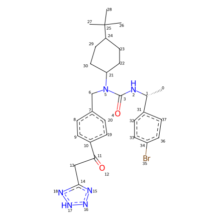 C[C@@H](NC(=O)N(Cc1ccc(C(=O)Cc2nn[nH]n2)cc1)C1CCC(C(C)(C)C)CC1)c1ccc(Br)cc1